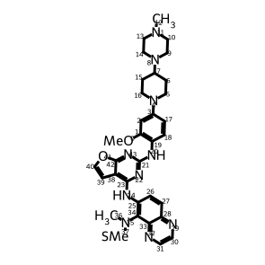 COc1cc(N2CCC(N3CCN(C)CC3)CC2)ccc1Nc1nc(Nc2ccc3nccnc3c2N(C)SC)c2ccoc2n1